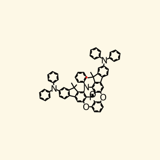 CC1(C)c2cc(N(c3ccccc3)c3ccccc3)ccc2-c2cc3c4c(c21)N(c1ccccc1)c1c2c(cc5c1P4(=O)c1c(cccc1O5)O3)-c1ccc(N(c3ccccc3)c3ccccc3)cc1C2(C)C